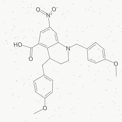 COc1ccc(CC2CCN(Cc3ccc(OC)cc3)c3cc([N+](=O)[O-])cc(C(=O)O)c32)cc1